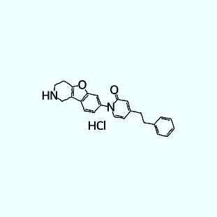 Cl.O=c1cc(CCc2ccccc2)ccn1-c1ccc2c3c(oc2c1)CCNC3